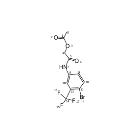 CC(=O)OCC(=O)Nc1ccc(Br)c(C(F)(F)F)c1